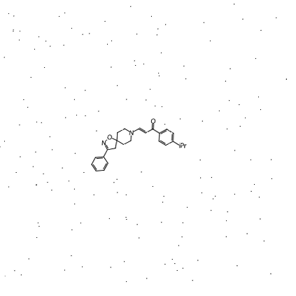 CC(C)c1ccc(C(=O)C=CN2CCC3(CC2)CC(c2ccccc2)=NO3)cc1